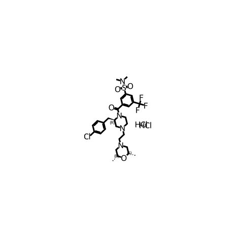 C[C@@H]1CN(CCN2CCN(C(=O)c3cc(C(F)(F)F)cc(S(=O)(=O)N(C)C)c3)[C@H](Cc3ccc(Cl)cc3)C2)C[C@H](C)O1.Cl.Cl